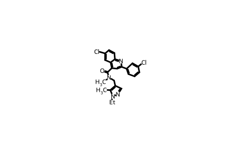 CCn1ncc(CN(C)C(=O)c2cc(-c3cccc(Cl)c3)nc3ccc(Cl)cc23)c1C